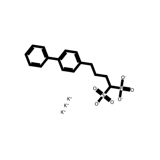 O=P([O-])([O-])C(CCCc1ccc(-c2ccccc2)cc1)S(=O)(=O)[O-].[K+].[K+].[K+]